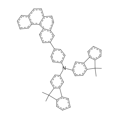 CC1(C)c2ccccc2-c2cc(N(c3ccc(-c4ccc5c(ccc6ccc7ccccc7c65)c4)cc3)c3ccc4c(c3)-c3ccccc3C4(C)C)ccc21